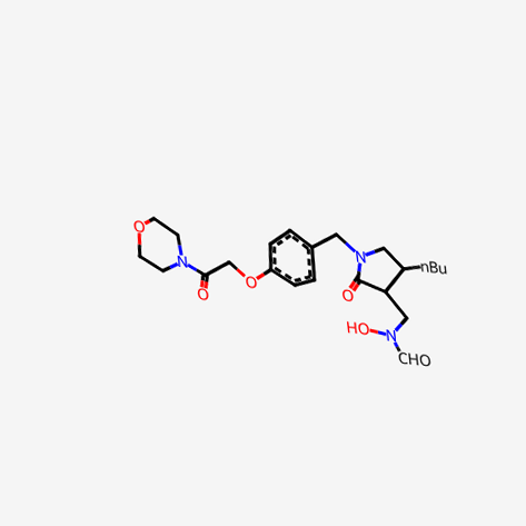 CCCCC1CN(Cc2ccc(OCC(=O)N3CCOCC3)cc2)C(=O)C1CN(O)C=O